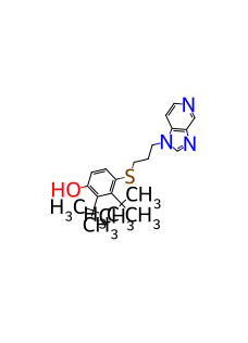 CC(C)(C)c1c(O)ccc(SCCCn2cnc3cnccc32)c1C(C)(C)C